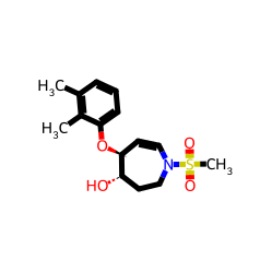 Cc1cccc(O[C@H]2C=CN(S(C)(=O)=O)CC[C@@H]2O)c1C